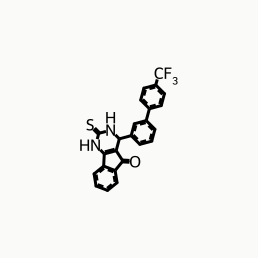 O=C1C2=C(NC(=S)NC2c2cccc(-c3ccc(C(F)(F)F)cc3)c2)c2ccccc21